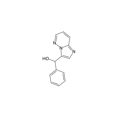 OC(c1ccccc1)c1cnc2cccnn12